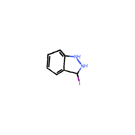 I[C]1NNc2ccccc21